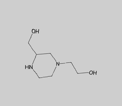 OCCN1CCNC(CO)C1